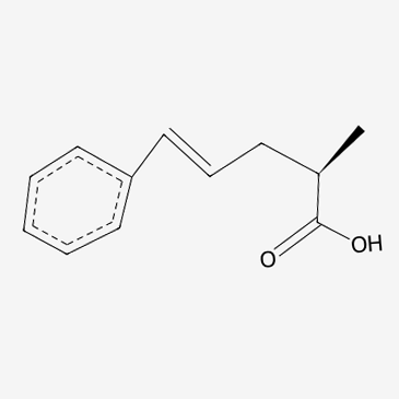 C[C@H](CC=Cc1ccccc1)C(=O)O